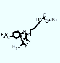 Cc1nnc2c(NCCCCNC(=O)OC(C)(C)C)nc3ccc(OC(F)(F)F)cc3n12